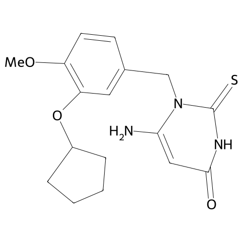 COc1ccc(Cn2c(N)cc(=O)[nH]c2=S)cc1OC1CCCC1